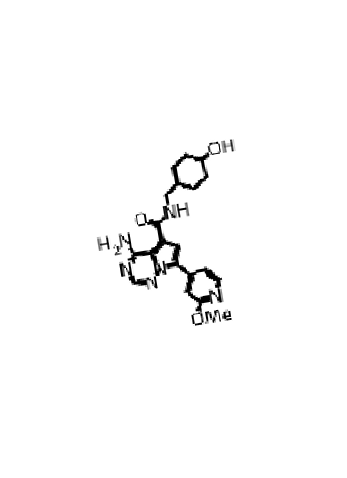 COc1cc(-c2cc(C(=O)NCC3CCC(O)CC3)c3c(N)ncnn23)ccn1